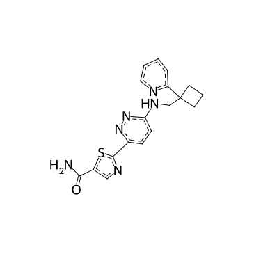 NC(=O)c1cnc(-c2ccc(NCC3(c4ccccn4)CCC3)nn2)s1